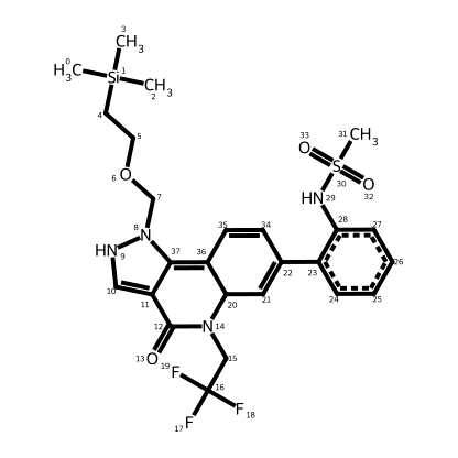 C[Si](C)(C)CCOCN1NC=C2C(=O)N(CC(F)(F)F)C3C=C(c4ccccc4NS(C)(=O)=O)C=CC3=C21